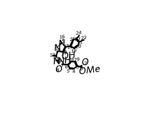 COC(=O)c1ccc(C(=O)NN=C(C)c2nn(C)c(-c3ccc(C)c(C)c3)c2O)cc1